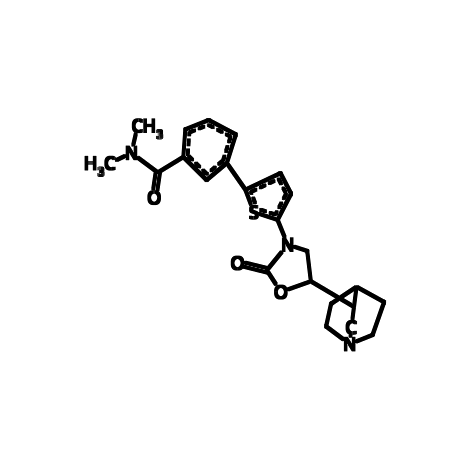 CN(C)C(=O)c1cccc(-c2ccc(N3CC(C4CN5CCC4CC5)OC3=O)s2)c1